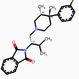 CC(C)[C@@H](CN1CC[C@@](C)(c2cccc(F)c2)[C@@H](C)C1)N1C(=O)c2ccccc2C1=O